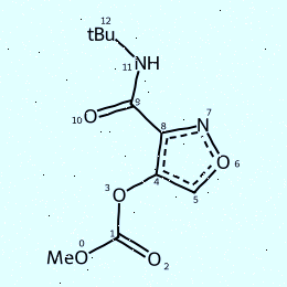 COC(=O)Oc1conc1C(=O)NC(C)(C)C